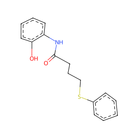 O=C(CCCSc1ccccc1)Nc1ccccc1O